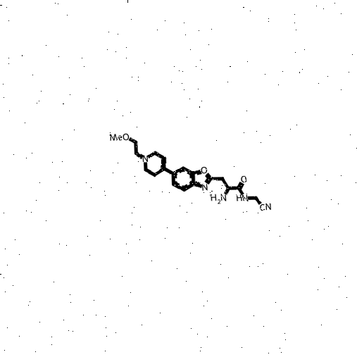 COCCN1CC=C(c2ccc3nc(CC(N)C(=O)NCC#N)oc3c2)CC1